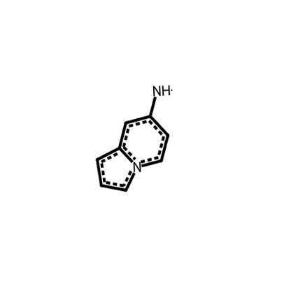 [NH]c1ccn2cccc2c1